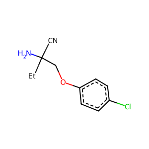 CCC(N)(C#N)COc1ccc(Cl)cc1